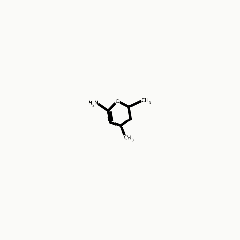 CC1C=C(N)OC(C)C1